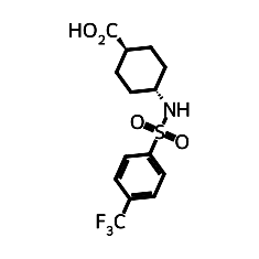 O=C(O)[C@H]1CC[C@H](NS(=O)(=O)c2ccc(C(F)(F)F)cc2)CC1